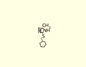 Cc1nnc(SCc2ccccc2)[nH]1